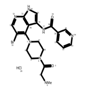 CNCC(=O)N1CCN(c2c(Br)cnc3[nH]cc(NC(=O)c4cccnc4)c23)CC1.Cl